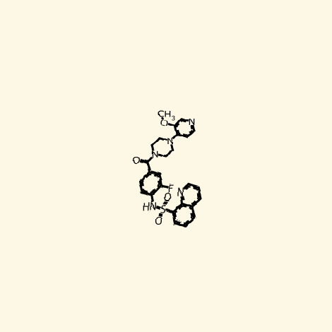 COc1cnccc1N1CCN(C(=O)c2ccc(NS(=O)(=O)c3cccc4cccnc34)c(F)c2)CC1